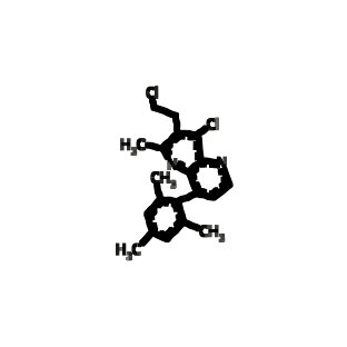 Cc1cc(C)c(-c2ccnc3c(Cl)c(CCCl)c(C)nc23)c(C)c1